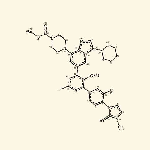 COc1c(-c2ccc(-n3ccn(C)c3=O)c(Cl)c2)cc(F)cc1-c1cc(N2CCN(C(=O)OC(C)(C)C)CC2)c2ncn(C3CCCCO3)c2c1